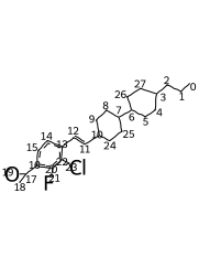 CCCC1CCC(C2CCC(/C=C/c3ccc(C4CO4)c(F)c3Cl)CC2)CC1